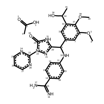 CC(=O)O.COc1cc(C(Nc2ccc(C(=N)N)cc2)c2nn(-c3ncccn3)c(=O)[nH]2)cc(C(C)O)c1OC